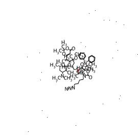 CC[C@@H](O[Si](c1ccccc1)(c1ccccc1)C(C)(C)C)[C@@]1(C)OC(=O)N(CCCCN=[N+]=[N-])[C@@H]1[C@@H](C)SC[C@H](C)C[C@@](C)(OC)[C@H](O[C@@H]1OC(C)CC(N(C)C)C1C)[C@@H](C)C1=CC(=O)OC(C)(C)O1